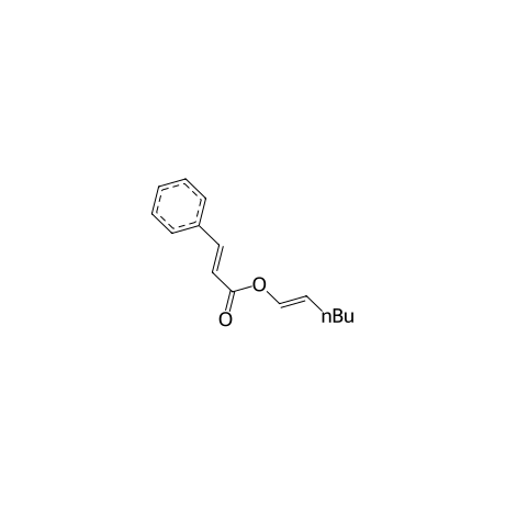 CCCCC=COC(=O)C=Cc1ccccc1